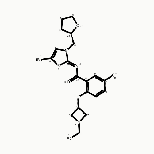 CC(=O)CN1CC(Oc2ccc(C(F)(F)F)cc2C(=O)N=c2sc(C(C)(C)C)cn2C[C@H]2CCCO2)C1